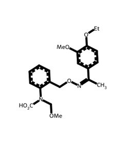 CCOc1ccc(/C(C)=N\OCc2ccccc2N(COC)C(=O)O)cc1OC